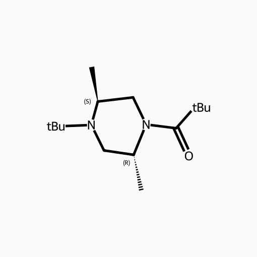 C[C@@H]1CN(C(C)(C)C)[C@@H](C)CN1C(=O)C(C)(C)C